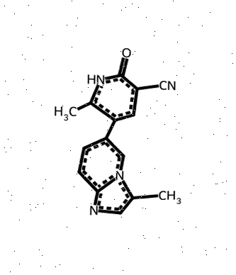 Cc1[nH]c(=O)c(C#N)cc1-c1ccc2ncc(C)n2c1